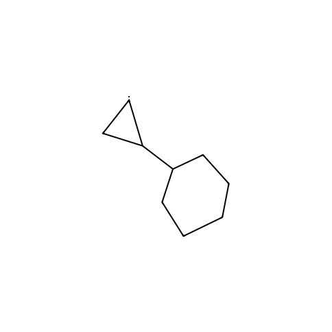 [CH]1CC1C1CCCCC1